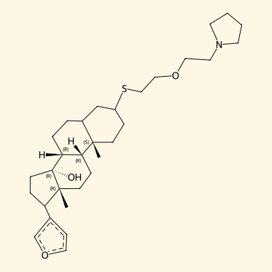 C[C@]12CCC(SCCOCCN3CCCC3)CC1CC[C@@H]1[C@H]2CC[C@]2(C)C(c3ccoc3)CC[C@@]12O